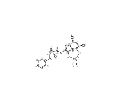 CN1CCc2c(Cl)cc(Cl)c3oc(CNS(=O)(=O)C=Cc4ccccc4)c(c23)C1